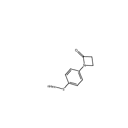 CCCCCCSc1ccc(N2CCC2=O)cc1